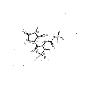 CC(C(NC(=O)OC(C)(C)C)C(=O)[C@@H]1C(=O)N(C)C(=O)[C@H]1C)C(F)(F)F